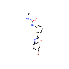 CCNC(=O)Nc1cccc(-c2nc3ccc(Br)cc3o2)c1